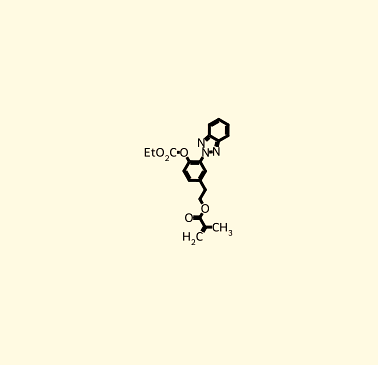 C=C(C)C(=O)OCCc1ccc(OC(=O)OCC)c(-n2nc3ccccc3n2)c1